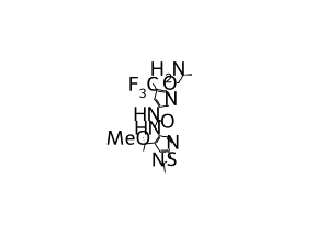 CO[C@@H](C)c1c(NC(=O)Nc2cnc(OC[C@H](C)N)c(C(F)(F)F)c2)cnc2sc(C)nc12